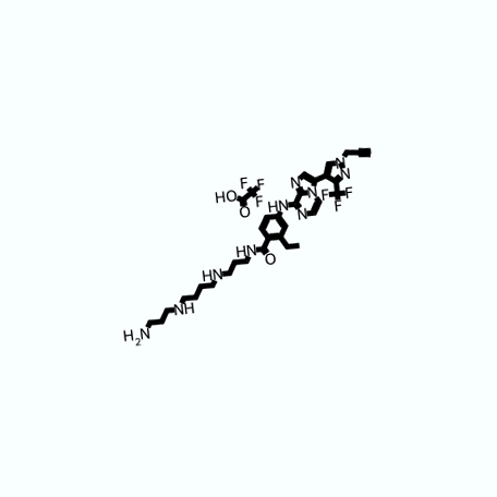 C#CCn1cc(-c2cnc3c(Nc4ccc(C(=O)NCCCNCCCCNCCCN)c(CC)c4)nccn23)c(C(F)(F)F)n1.O=C(O)C(F)(F)F